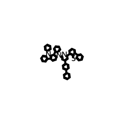 c1ccc(-c2ccc(-c3cc(-c4cccc5c4sc4ccccc45)nc(-n4c5ccccc5c5c4ccc4c6ccccc6n(-c6ccccc6)c45)c3)cc2)cc1